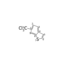 ClC(Cl)(Cl)c1ccc2c[c]sc2c1